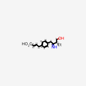 CC[C@@H](CO)C(=N)Cc1ccc(C/C=C/C(=O)O)cc1